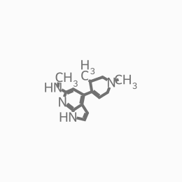 CNc1cc(C2=CCN(C)CC2C)c2cc[nH]c2n1